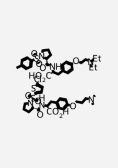 CCN(CC)CCOc1ccc(C[C@H](NC(=O)[C@@H]2CCCN2S(=O)(=O)c2ccc(C)cc2)C(=O)O)cc1.CN(C)CCCOc1ccc(C[C@H](NC(=O)[C@@H]2CCCN2S(=O)(=O)c2ccc(Cl)s2)C(=O)O)cc1